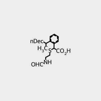 CCCCCCCCCCC(C)c1ccccc1C(SCCNC=O)C(=O)O